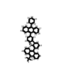 CC(C)(C)c1c2ccccc2c(-c2cccc3c2sc2ccc(-c4c5ccccc5c(-c5ccccc5)c5ccccc45)cc23)c2ccccc12